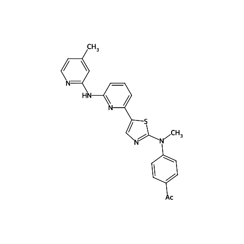 CC(=O)c1ccc(N(C)c2ncc(-c3cccc(Nc4cc(C)ccn4)n3)s2)cc1